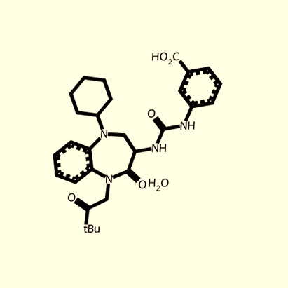 CC(C)(C)C(=O)CN1C(=O)C(NC(=O)Nc2cccc(C(=O)O)c2)CN(C2CCCCC2)c2ccccc21.O